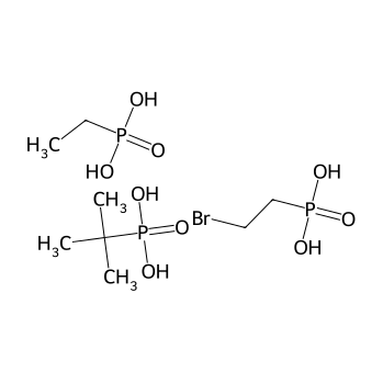 CC(C)(C)P(=O)(O)O.CCP(=O)(O)O.O=P(O)(O)CCBr